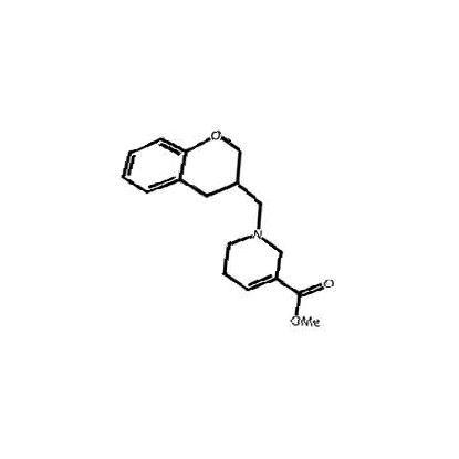 COC(=O)C1=CCCN(CC2COc3ccccc3C2)C1